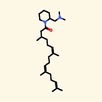 CC(C)=CCCC(C)=CCCC(C)=CCCC(C)CC(=O)N1CCCCC1CN(C)C